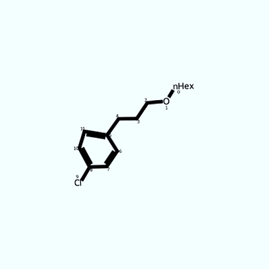 [CH2]CCCCCOCCCc1ccc(Cl)cc1